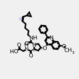 COc1ccc2c(O[C@@H]3C[C@@H](C(=O)NCC(=O)O)N(C(=O)NCCCC/C=C\C4CC4)C3)cc(-c3ccccc3)nc2c1